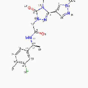 CCn1cc(-c2nn(CC(=O)N[C@@H](C)c3ccc(C)c(F)c3)c(=O)n2C)cn1